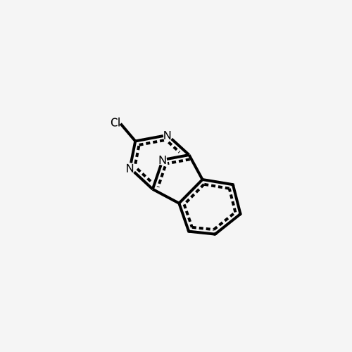 Clc1nc2nc(n1)-c1ccccc1-2